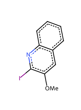 COc1cc2ccccc2nc1I